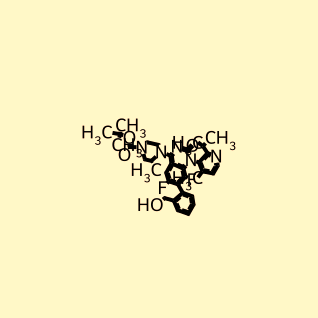 Cc1ccnc(C(C)C)c1-n1c(=O)nc(N2CCN(C(=O)OC(C)(C)C)C[C@@H]2C)c2cc(F)c(-c3ccccc3CO)c(F)c21